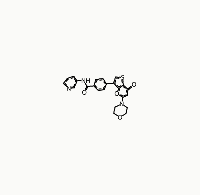 O=C(Nc1cccnc1)c1ccc(-c2csc3c(=O)cc(N4CCOCC4)oc23)cc1